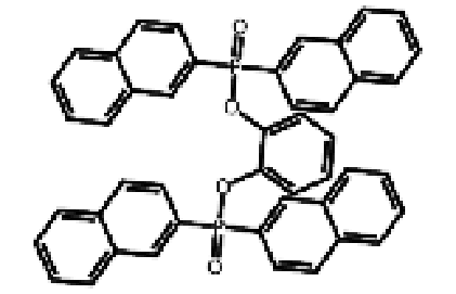 O=P(Oc1ccccc1OP(=O)(c1ccc2ccccc2c1)c1ccc2ccccc2c1)(c1ccc2ccccc2c1)c1ccc2ccccc2c1